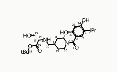 CC(C)c1cc(C(=O)N2CCC(CN[C@@H](CO)C(=O)OC(C)(C)C)CC2)c(O)cc1O